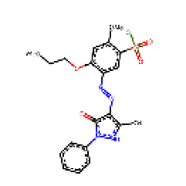 COCCOc1cc(OC)c(S(=O)(=O)Cl)cc1N=Nc1c(C#N)[nH]n(-c2ccccc2)c1=O